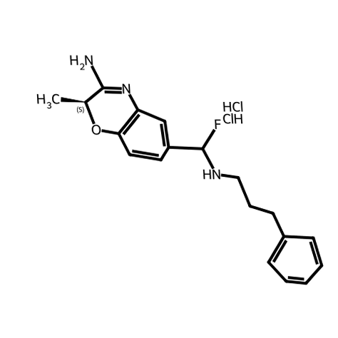 C[C@@H]1Oc2ccc(C(F)NCCCc3ccccc3)cc2N=C1N.Cl.Cl